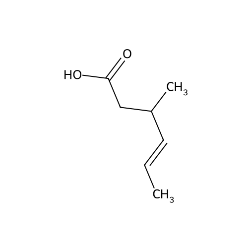 CC=CC(C)CC(=O)O